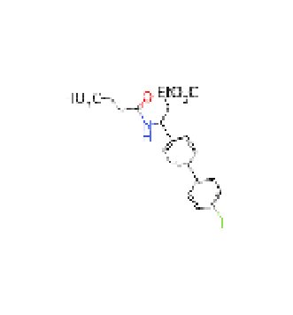 CCOC(=O)CC(NC(=O)CCC(=O)O)c1ccc(-c2ccc(F)cc2)cc1